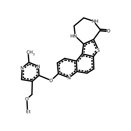 CCOCc1cnc(C)nc1Oc1ccc2c(ccc3sc4c(c32)NCCNC4=O)n1